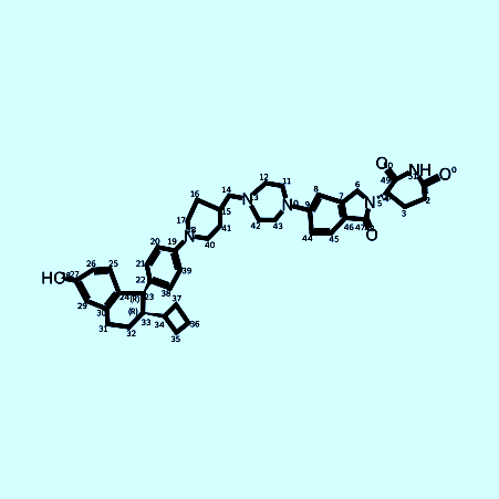 O=C1CC[C@H](N2Cc3cc(N4CCN(CC5CCN(c6ccc([C@@H]7c8ccc(O)cc8CC[C@@H]7C7CCC7)cc6)CC5)CC4)ccc3C2=O)C(=O)N1